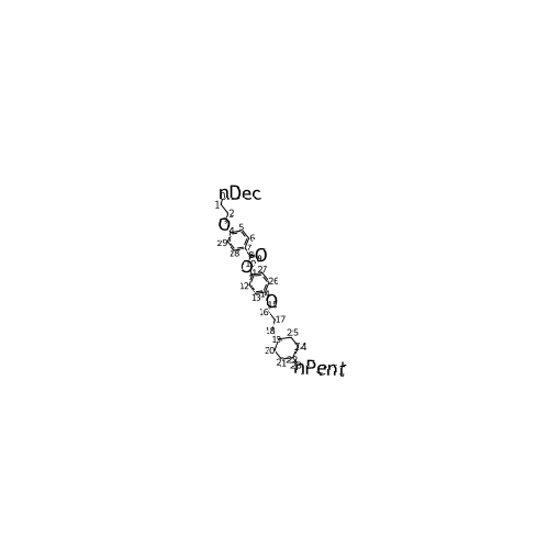 CCCCCCCCCCCCOc1ccc(C(=O)Oc2ccc(OCCC[C@H]3CC[C@H](CCCCC)CC3)cc2)cc1